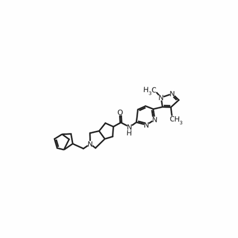 Cc1cnn(C)c1-c1ccc(NC(=O)C2CC3CN(CC4CC5C=CC4C5)CC3C2)nn1